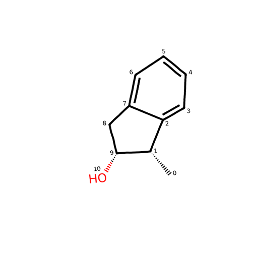 C[C@H]1c2ccccc2C[C@H]1O